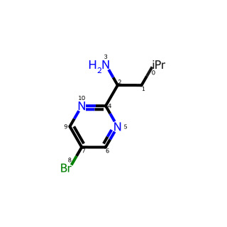 CC(C)CC(N)c1ncc(Br)cn1